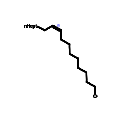 CCCCCCCC/C=C\CCCCCCCC[O]